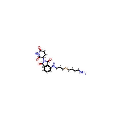 NCCCCSCCCNc1cccc2c1C(=O)N(C1CCC(=O)NC1=O)C2=O